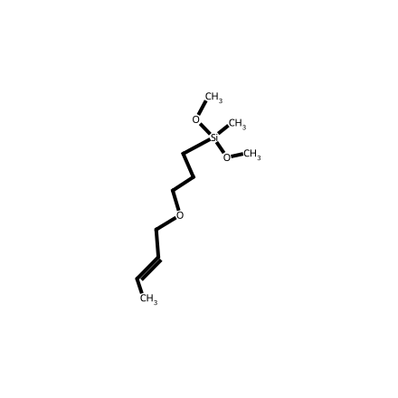 CC=CCOCCC[Si](C)(OC)OC